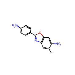 Cc1cc2nc(-c3ccc(N)cc3)oc2cc1N